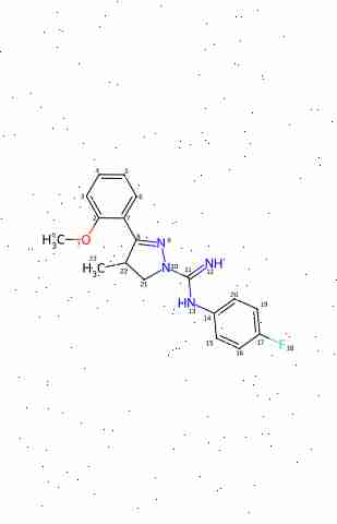 COc1ccccc1C1=NN(C(=N)Nc2ccc(F)cc2)CC1C